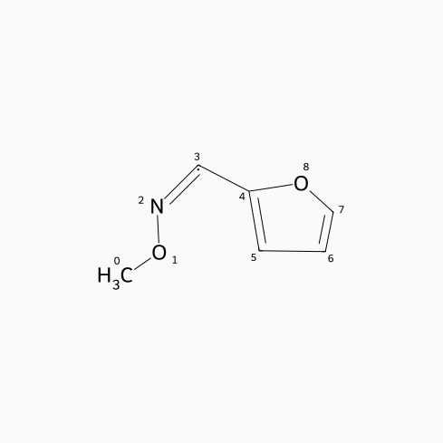 CO/N=[C]\c1ccco1